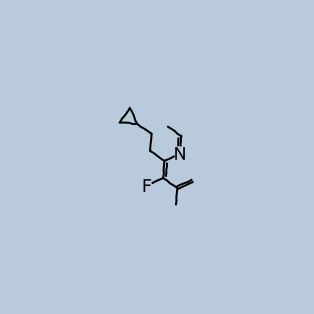 C=C(C)/C(F)=C(CCC1CC1)\N=C/C